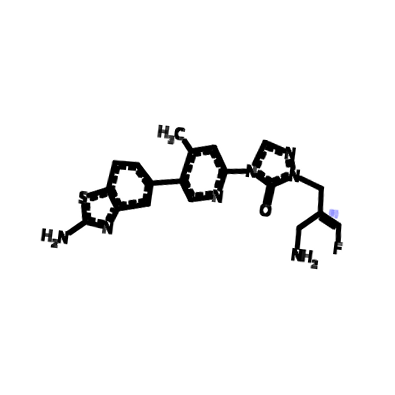 Cc1cc(-n2cnn(C/C(=C/F)CN)c2=O)ncc1-c1ccc2sc(N)nc2c1